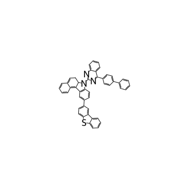 C1=c2ccccc2=C2c3cc(-c4ccc5sc6ccccc6c5c4)ccc3N(c3nc(-c4ccc(-c5ccccc5)cc4)c4ccccc4n3)C2C1